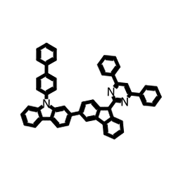 c1ccc(-c2ccc(-n3c4ccccc4c4ccc(-c5ccc6c(c5)-c5ccccc5C6c5nc(-c6ccccc6)cc(-c6ccccc6)n5)cc43)cc2)cc1